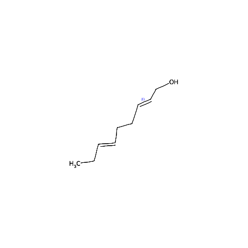 CCC=CCC/C=C/CO